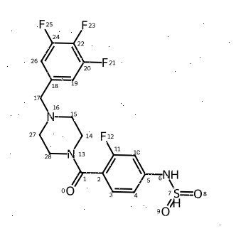 O=C(c1ccc(N[SH](=O)=O)cc1F)N1CCN(Cc2cc(F)c(F)c(F)c2)CC1